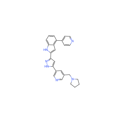 c1cc(-c2ccncc2)c2cc(-c3cc(-c4cncc(CN5CCCC5)c4)[nH]n3)[nH]c2c1